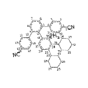 N#Cc1ccc(-c2cccc(-c3ccc(C#N)cc3)c2-c2ccc(C3CCCCC3)c(C3CCCCC3)c2P)cc1